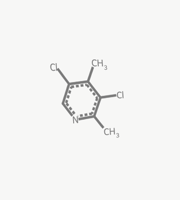 Cc1ncc(Cl)c(C)c1Cl